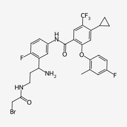 Cc1cc(F)ccc1Oc1cc(C2CC2)c(C(F)(F)F)cc1C(=O)Nc1ccc(F)c(C(N)CCNC(=O)CBr)c1